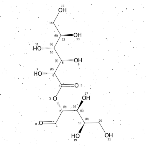 O=C[C@H](OC(=O)[C@H](O)[C@@H](O)[C@H](O)[C@H](O)CO)[C@@H](O)[C@H](O)CO